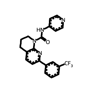 O=C(Nc1ccncc1)N1CCCc2ccc(-c3cccc(C(F)(F)F)c3)nc21